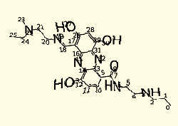 CCCNCCNC(=O)c1ccc(O)c2nc3c(C=NCCN(C)CC)c(O)cc(O)c3nc12